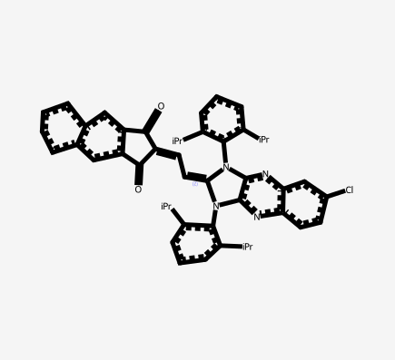 CC(C)c1cccc(C(C)C)c1N1/C(=C/C=C2C(=O)c3cc4ccccc4cc3C2=O)N(c2c(C(C)C)cccc2C(C)C)c2nc3cc(Cl)ccc3nc21